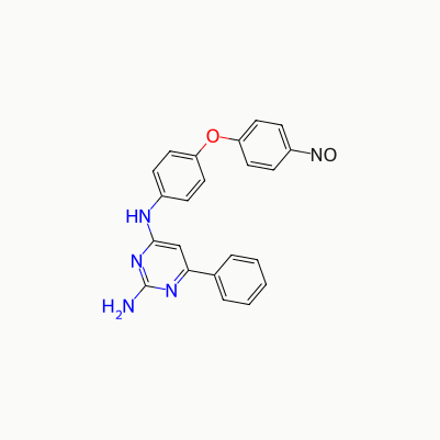 Nc1nc(Nc2ccc(Oc3ccc(N=O)cc3)cc2)cc(-c2ccccc2)n1